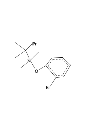 CC(C)C(C)(C)[Si](C)(C)Oc1ccccc1Br